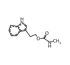 CNC(=O)OCCc1c[nH]c2ccccc12